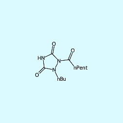 CCCCCC(=O)n1c(=O)[nH]c(=O)n1CCCC